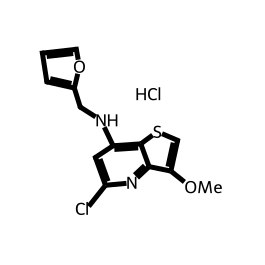 COc1csc2c(NCc3ccco3)cc(Cl)nc12.Cl